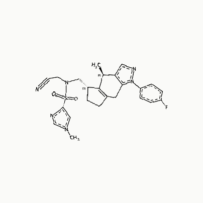 C[C@@H]1C2=C(CC[C@@H]2CN(CC#N)S(=O)(=O)c2cn(C)cn2)Cc2c1cnn2-c1ccc(F)cc1